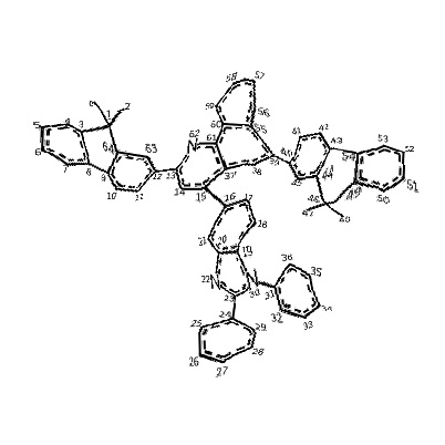 CC1(C)c2ccccc2-c2ccc(-c3cc(-c4ccc5c(c4)nc(-c4ccccc4)n5-c4ccccc4)c4cc(-c5ccc6c(c5)C(C)(C)c5ccccc5-6)c5ccccc5c4n3)cc21